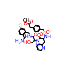 COC(=O)Cc1ccc(CS(=O)(=O)NC(Cc2ccccn2)C(=O)N[C@@H](CO)C(=O)NCc2cc(Cl)ccc2CN)cc1